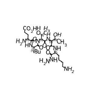 CC[C@H](C)[C@H](NC(=O)[C@@H](N)CCC(=O)O)C(=O)N[C@H](C(=O)N[C@H](C(=O)N[C@@H](CCCCN)C(=O)NN)[C@@H](C)O)[C@@H](C)O